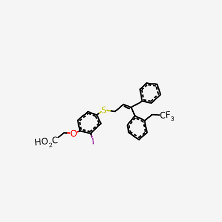 O=C(O)COc1ccc(SCC=C(c2ccccc2)c2ccccc2CC(F)(F)F)cc1I